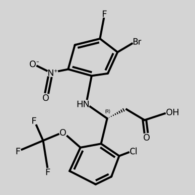 O=C(O)C[C@@H](Nc1cc(Br)c(F)cc1[N+](=O)[O-])c1c(Cl)cccc1OC(F)(F)F